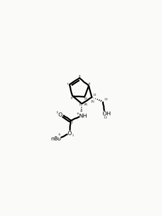 CCCCOC(=O)N[C@@H]1C2C=CC(C2)[C@@H]1CO